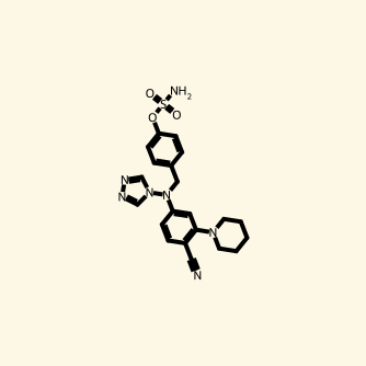 N#Cc1ccc(N(Cc2ccc(OS(N)(=O)=O)cc2)n2cnnc2)cc1N1CCCCC1